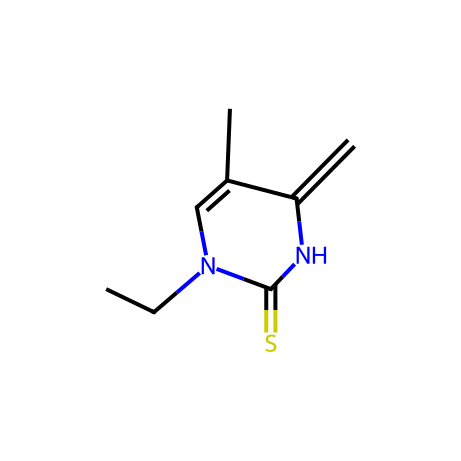 C=C1NC(=S)N(CC)C=C1C